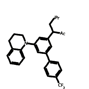 CC(=O)C(CC(C)C)c1cc(-c2ccc(C(F)(F)F)cc2)cc(N2CCCc3ccccc32)c1